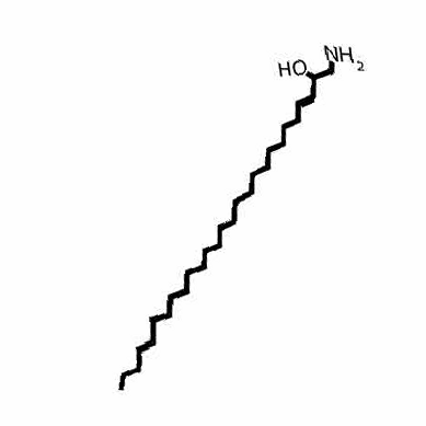 CCCCCCCCCCCCCCCCCCCCCCCC=CC(O)CN